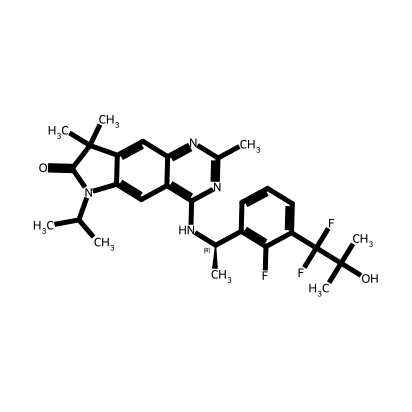 Cc1nc(N[C@H](C)c2cccc(C(F)(F)C(C)(C)O)c2F)c2cc3c(cc2n1)C(C)(C)C(=O)N3C(C)C